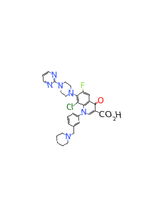 O=C(O)c1cn(-c2cccc(CN3CCCCC3)c2)c2c(Cl)c(N3CCN(c4ncccn4)CC3)c(F)cc2c1=O